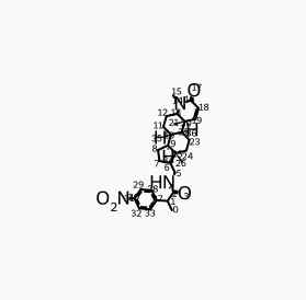 CC(C(=O)NCC1CC[C@H]2[C@@H]3CCC4N(C)C(=O)C=C[C@]4(C)[C@@H]3CC[C@]12C)c1ccc([N+](=O)[O-])cc1